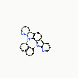 c1ccc(-n2c3ncccc3c3ccc4c5cccnc5n(-c5ccccc5)c4c32)cc1